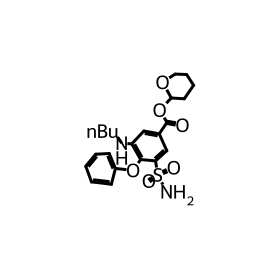 CCCCNc1cc(C(=O)OC2CCCCO2)cc(S(N)(=O)=O)c1Oc1ccccc1